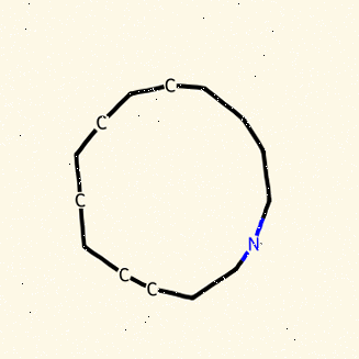 C1CCCCCCC[N]CCCCCC1